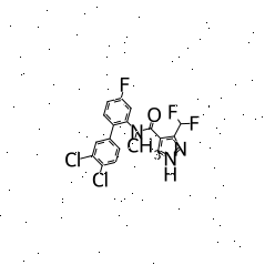 CN(C(=O)c1c[nH]nc1C(F)F)c1cc(F)ccc1-c1ccc(Cl)c(Cl)c1